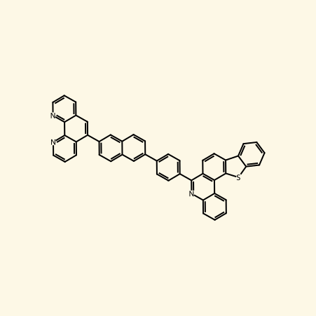 c1cnc2c(c1)cc(-c1ccc3cc(-c4ccc(-c5nc6ccccc6c6c5ccc5c7ccccc7sc56)cc4)ccc3c1)c1cccnc12